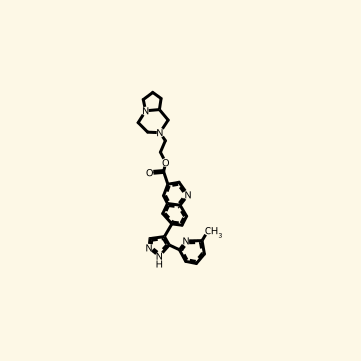 Cc1cccc(-c2[nH]ncc2-c2ccc3ncc(C(=O)OCCN4CCN5CCCC5C4)cc3c2)n1